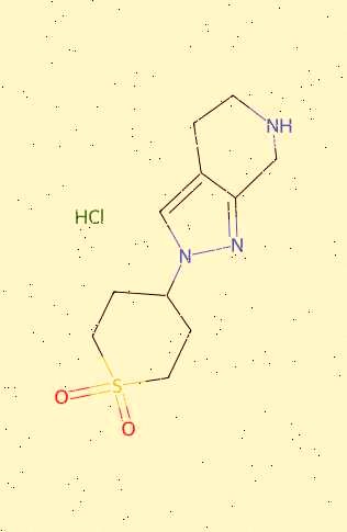 Cl.O=S1(=O)CCC(n2cc3c(n2)CNCC3)CC1